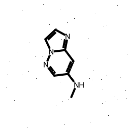 CNc1cnn2ccnc2c1